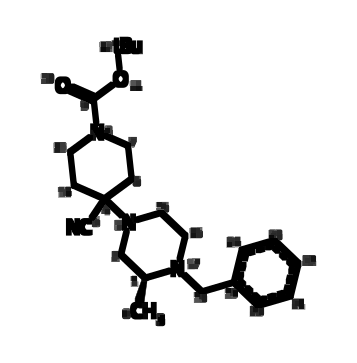 C[C@H]1CN(C2(C#N)CCN(C(=O)OC(C)(C)C)CC2)CCN1Cc1ccccc1